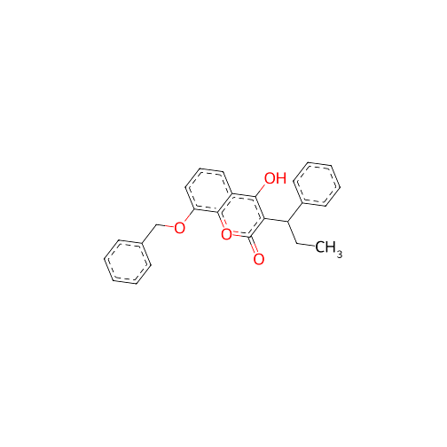 CCC(c1ccccc1)c1c(O)c2cccc(OCc3ccccc3)c2oc1=O